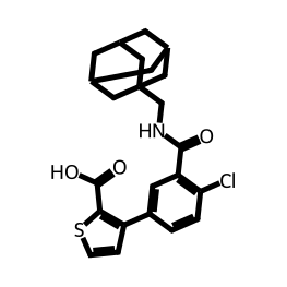 O=C(NCC12CC3CC(CC(C3)C1)C2)c1cc(-c2ccsc2C(=O)O)ccc1Cl